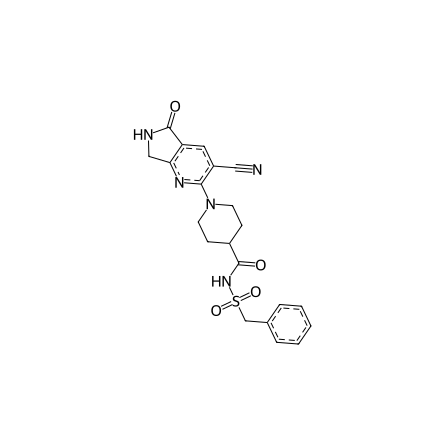 N#Cc1cc2c(nc1N1CCC(C(=O)NS(=O)(=O)Cc3ccccc3)CC1)CNC2=O